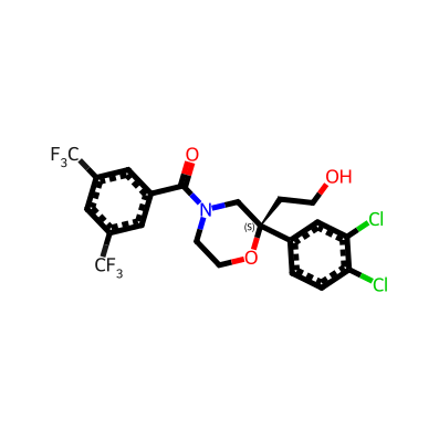 O=C(c1cc(C(F)(F)F)cc(C(F)(F)F)c1)N1CCO[C@@](CCO)(c2ccc(Cl)c(Cl)c2)C1